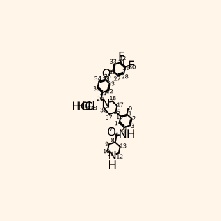 Cc1ccc(NC(=O)C2CCNCC2)cc1C1CCN(Cc2ccc(Oc3ccc(F)c(F)c3)cc2)CC1.Cl.Cl